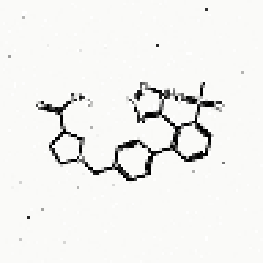 CS(=O)(=O)c1cccc(-c2ccc(CN3CCC(C(N)=O)C3)cc2)c1-c1nnn[nH]1